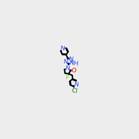 O=C1N(c2nc(-c3ccncc3)n[nH]2)CCC1(F)Cc1ccc(Cl)nc1